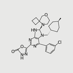 C[C@H]1CC[C@H](CN2c3c(nc(-c4n[nH]c(=O)o4)nc3-c3cccc(Cl)c3)N[C@H]2N2CCOCC23CCC3)CC1